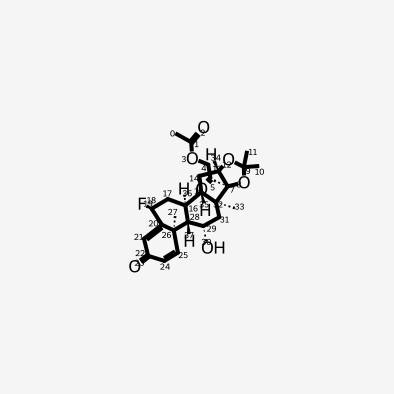 CC(=O)OCC(=O)[C@@]12OC(C)(C)O[C@H]1C[C@H]1[C@@H]3C[C@H](F)C4=CC(=O)C=C[C@]4(C)[C@H]3[C@@H](O)C[C@@]12C